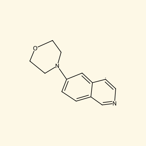 [c]1cncc2ccc(N3CCOCC3)cc12